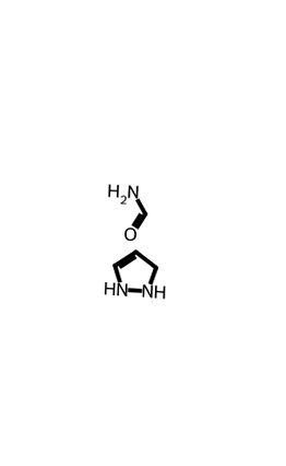 C1=CNNC1.NC=O